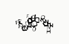 O=C(c1ccc2[nH]ncc2n1)N1CCC2c3c(ccc(F)c3Cl)N(CC(=O)N3CCC[C@H]3CC(F)(F)F)C(=O)CC2C1